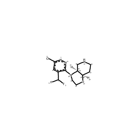 FC(F)c1cc(Cl)nnc1N1CCO[C@@H]2CCNC[C@@H]21